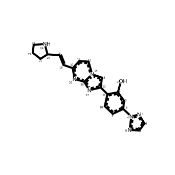 Oc1cc(-n2nccn2)ccc1-c1cn2ccc(/C=C/C3CCCN3)nc2n1